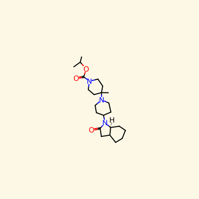 CC(C)OC(=O)N1CCC(C)(N2CCC(N3C(=O)CC4CCCC[C@@H]43)CC2)CC1